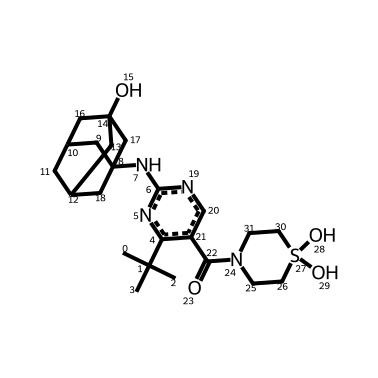 CC(C)(C)c1nc(NC23CC4CC(CC(O)(C4)C2)C3)ncc1C(=O)N1CCS(O)(O)CC1